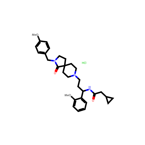 COc1ccc(CN2CCC3(CCN(CCC(NC(=O)CC4CC4)c4ccccc4OC)CC3)C2=O)cc1.Cl